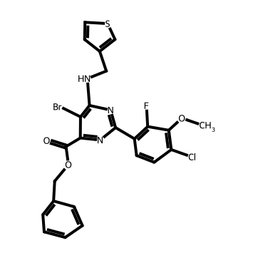 COc1c(Cl)ccc(-c2nc(NCc3ccsc3)c(Br)c(C(=O)OCc3ccccc3)n2)c1F